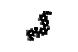 CNc1cc2ncc(-c3cc(NC(=O)c4ccnc(C(C)C)c4)cnc3C)cc2cn1